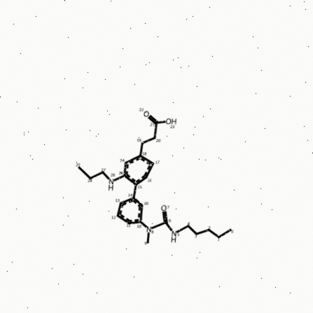 CCCCCNC(=O)N(C)c1cccc(-c2ccc(CCC(=O)O)cc2NCCC)c1